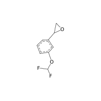 FC(F)Oc1cccc(C2CO2)c1